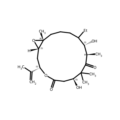 C=C(C)[C@@H]1C[C@@H]2O[C@]2(C)CCCC(CC)[C@H](O)[C@@H](C)C(=O)C(C)(C)[C@@H](O)CC(=O)O1